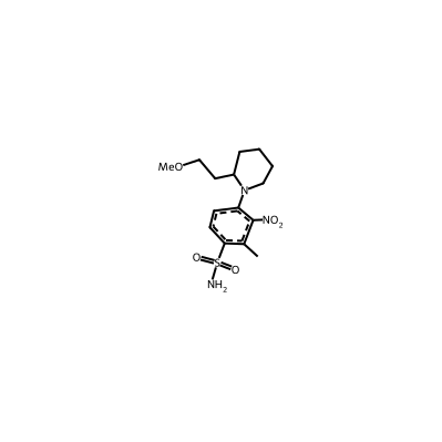 COCCC1CCCCN1c1ccc(S(N)(=O)=O)c(C)c1[N+](=O)[O-]